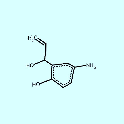 C=CC(O)c1cc(N)ccc1O